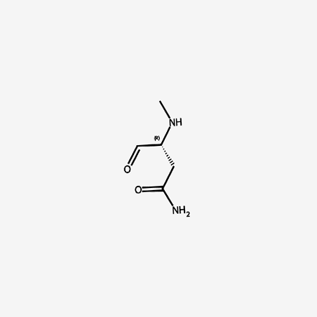 CN[C@@H](C=O)CC(N)=O